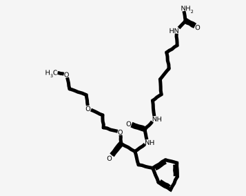 COCCOCCOC(=O)C(Cc1ccccc1)NC(=O)NCCCCCCNC(N)=O